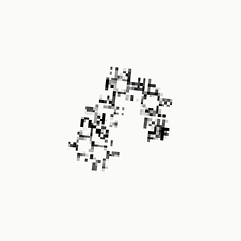 O=S(=O)(c1cccc2ccccc12)N1CCN(c2cc(Nc3ccc(OC(F)(F)F)cc3)ncn2)CC1